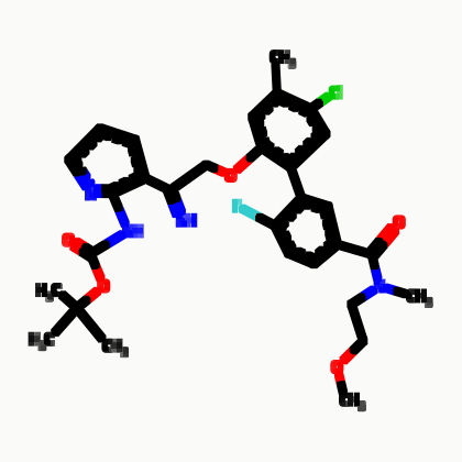 COCCN(C)C(=O)c1ccc(F)c(-c2cc(Cl)c(C)cc2OCC(=N)c2cccnc2NC(=O)OC(C)(C)C)c1